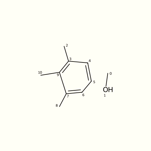 CO.Cc1cccc(C)c1C